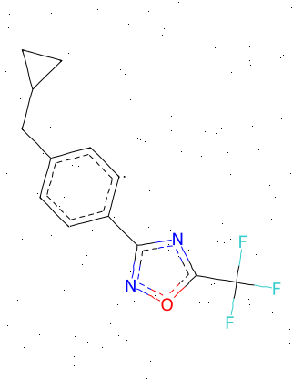 FC(F)(F)c1nc(-c2[c]cc(CC3CC3)cc2)no1